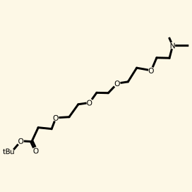 CN(C)CCOCCOCCOCCOCCC(=O)OC(C)(C)C